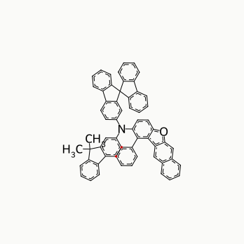 CC1(C)c2ccccc2-c2ccc(N(c3ccc4c(c3)C3(c5ccccc5-c5ccccc53)c3ccccc3-4)c3ccc4oc5cc6ccccc6cc5c4c3-c3ccccc3)cc21